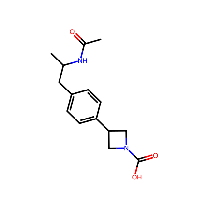 CC(=O)NC(C)Cc1ccc(C2CN(C(=O)O)C2)cc1